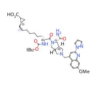 COc1ccc2c(CN3C[C@H]4CN(C(=O)[C@@H](CCCCC/C=C\[C@@H]5CC5C(=O)O)NC(=O)OC(C)(C)C)[C@H](C(N)=O)[C@H]4C3)cc(-n3cccn3)nc2c1